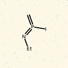 C=P(I)=NCC